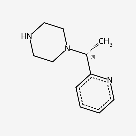 C[C@H](c1ccccn1)N1CCNCC1